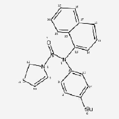 CC(C)(C)c1ccc(N(C(=O)N2C=CSC2)c2cccc3ccccc23)cc1